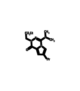 CCOC(=O)Cn1nc(N(C)C)n2cc(C(C)C)cc2c1=O